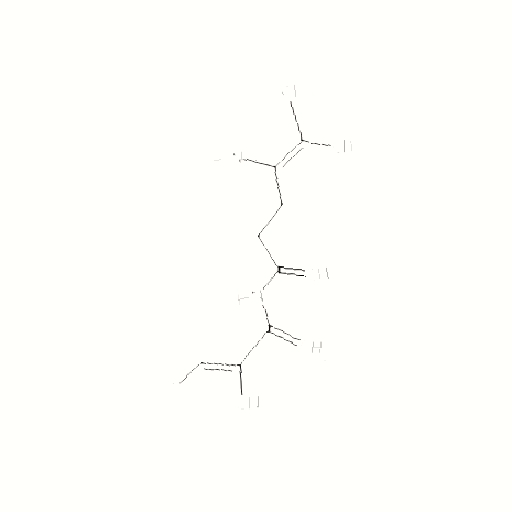 C=C(CCC(N)=C(C)C)NC(=C)/C(C)=C/C